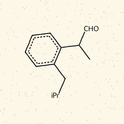 CC(C)Cc1ccccc1C(C)C=O